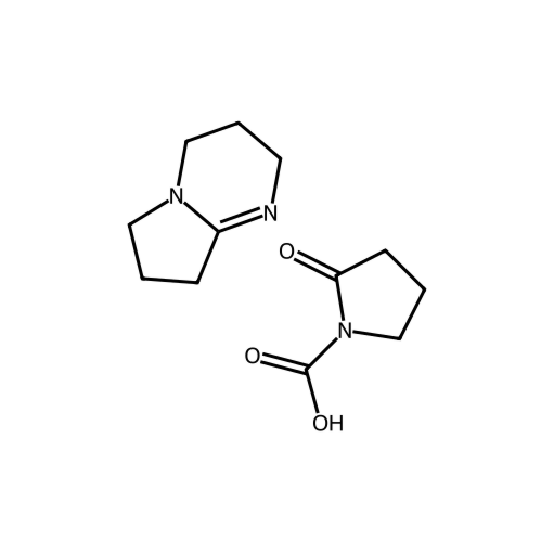 C1CN=C2CCCN2C1.O=C(O)N1CCCC1=O